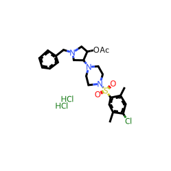 CC(=O)OC1CN(Cc2ccccc2)CC1N1CCN(S(=O)(=O)c2cc(C)c(Cl)cc2C)CC1.Cl.Cl